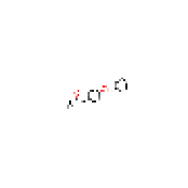 CC(=O)Cc1ccc(OCc2ccccc2)cc1